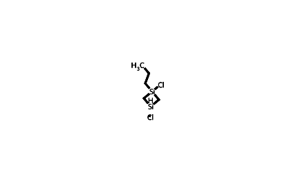 CCC[Si]1(Cl)C[SiH](Cl)C1